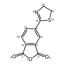 O=C1OC(=O)c2cc(C3=NCCS3)ccc21